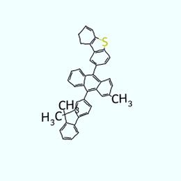 Cc1ccc2c(-c3ccc4sc5c(c4c3)CCC=C5)c3ccccc3c(-c3ccc4c(c3)C(C)(C)c3ccccc3-4)c2c1